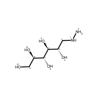 NNC[C@H](O)[C@H](O)[C@H](O)[C@H](O)CO